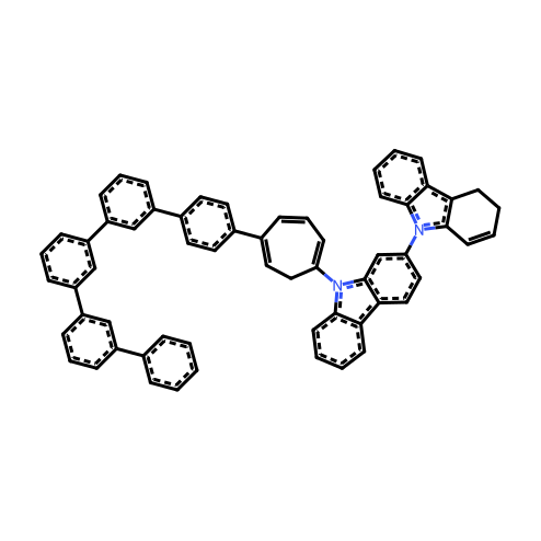 C1=CC(c2ccc(-c3cccc(-c4cccc(-c5cccc(-c6ccccc6)c5)c4)c3)cc2)=CCC(n2c3ccccc3c3ccc(-n4c5c(c6ccccc64)CCC=C5)cc32)=C1